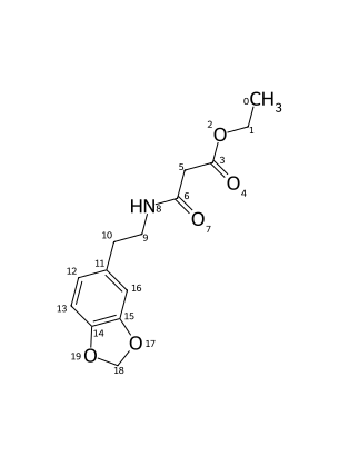 CCOC(=O)CC(=O)NCCc1ccc2c(c1)OCO2